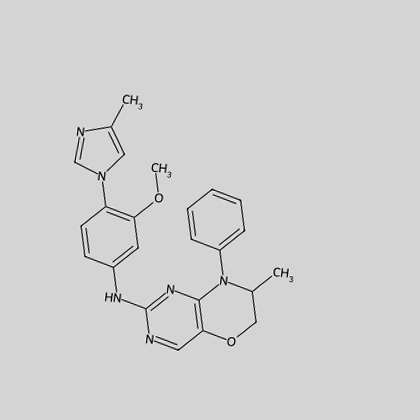 COc1cc(Nc2ncc3c(n2)N(c2ccccc2)C(C)CO3)ccc1-n1cnc(C)c1